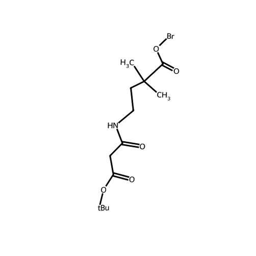 CC(C)(C)OC(=O)CC(=O)NCCC(C)(C)C(=O)OBr